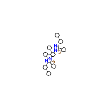 c1ccc(-c2cccc(-c3nc(-c4ccccc4-c4ccccc4-c4ccccc4-c4nc(-c5cccc(-c6ccccc6)c5)c5c(n4)sc4ccccc45)nc4sc5ccccc5c34)c2)cc1